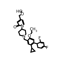 CCOc1cc(C2CC=C(F)C=C2F)c(C2CC2)cc1CN1CCC(n2ccc(COO)cc2=O)CC1